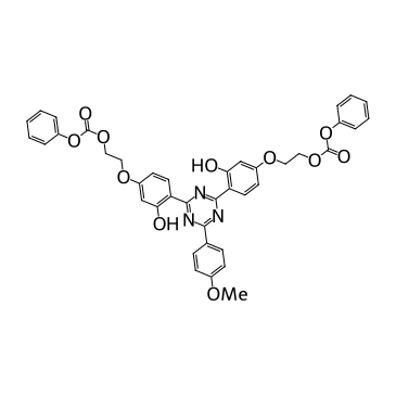 COc1ccc(-c2nc(-c3ccc(OCCOC(=O)Oc4ccccc4)cc3O)nc(-c3ccc(OCCOC(=O)Oc4ccccc4)cc3O)n2)cc1